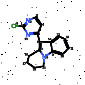 Clc1nccc(-c2c3n(c4ccccc24)CCCC3)n1